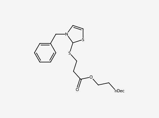 CCCCCCCCCCCCOC(=O)CCSC1SC=CN1Cc1ccccc1